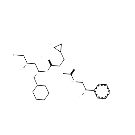 CC(C)C[C@H](O)[C@H](O)[C@H](CC1CCCCC1)NC(=O)[C@@H](CC(=O)NC[C@H](O)c1ccccc1)CC1CC1